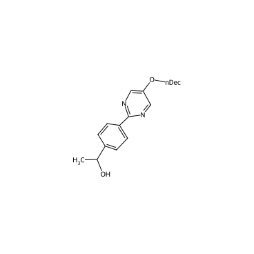 CCCCCCCCCCOc1cnc(-c2ccc(C(C)O)cc2)nc1